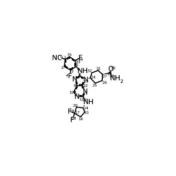 N#Cc1cc(F)c(Nc2nc3cnc(N[C@@H]4CCC(F)(F)C4)nc3n2[C@H]2CC[C@H](C(N)=O)CC2)c(F)c1